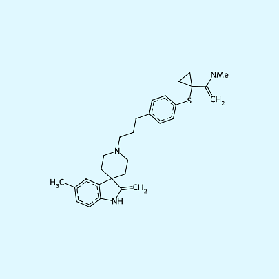 C=C(NC)C1(Sc2ccc(CCCN3CCC4(CC3)C(=C)Nc3ccc(C)cc34)cc2)CC1